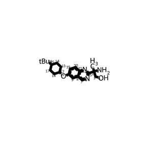 CC(N)(CO)c1ncc2cc(OC3CCC(C(C)(C)C)CC3)ccc2n1